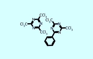 ClC(Cl)(Cl)c1nc(-c2ccccc2)nc(C(Cl)(Cl)Cl)n1.ClC(Cl)(Cl)c1nc(C(Cl)(Cl)Cl)nc(C(Cl)(Cl)Cl)n1